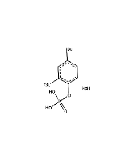 CCC(C)c1ccc(OP(=O)(O)O)c(C(C)(C)C)c1.[NaH]